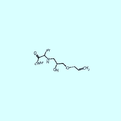 C=CCOCC(O)CNC(C(=O)OC)C(C)C